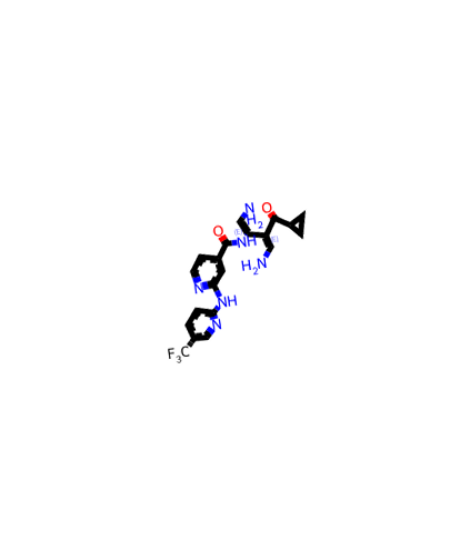 N/C=C(NC(=O)c1ccnc(Nc2ccc(C(F)(F)F)cn2)c1)\C(=C/N)C(=O)C1CC1